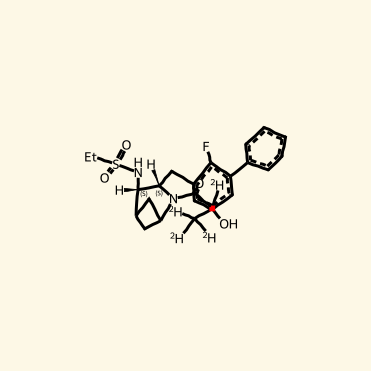 [2H]C([2H])([2H])C([2H])(O)C(=O)N1C2CC(C2)[C@H](NS(=O)(=O)CC)[C@@H]1Cc1cccc(-c2ccccc2)c1F